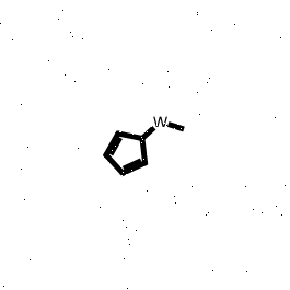 [CH3][W][CH]1C=CC=C1